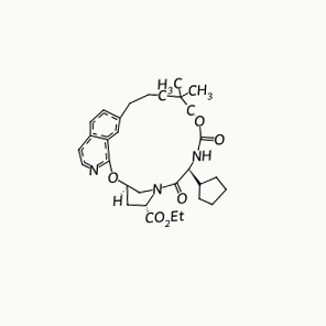 CCOC(=O)[C@@H]1C[C@@H]2CN1C(=O)[C@H](C1CCCC1)NC(=O)OCC(C)(C)CCCc1ccc3ccnc(c3c1)O2